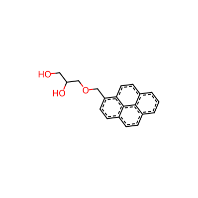 OCC(O)COCc1ccc2ccc3cccc4ccc1c2c34